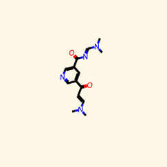 CN(C)/C=C/C(=O)c1cncc(C(=O)/N=C/N(C)C)c1